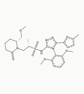 COC[C@H]1CCCC(=O)N1C[C@H](C)S(=O)(=O)Nc1nnc(-c2ccc(C)o2)n1-c1c(OC)cccc1OC